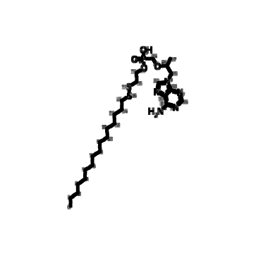 CCCCCCCCCCCCCCCCSSCCOP(=O)(O)COC(C)Cn1cnc2c(N)ncnc21